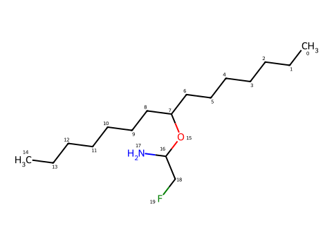 CCCCCCCC(CCCCCCC)OC(N)CF